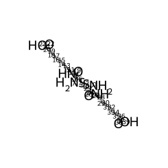 NC(CSSCC(N)C(=O)NCCCCCCCCCCC(=O)O)C(=O)NCCCCCCCCCCC(=O)O